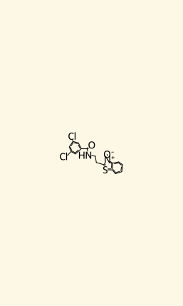 O=C(NCCc1sc2ccccc2[n+]1[O-])c1cc(Cl)cc(Cl)c1